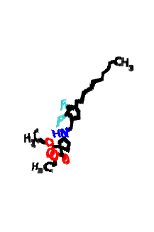 CCCCCCCCCCc1ccc(CNC2CCC(C(=O)OCC)(C(=O)OCC)C2)c(F)c1F